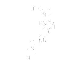 CN(C)C1CN(C(=O)Cn2cc3cc(NC(=O)c4cccc(C(F)(F)F)n4)c(Cl)cc3n2)C1